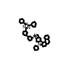 c1ccc(-c2nc(-c3ccccc3)nc(-c3cccc(-c4cccc(-n5ncc6cc7c8c9c(ccc%10ccccc%109)ccc8n(-c8ccccc8)c7cc65)c4)c3)n2)cc1